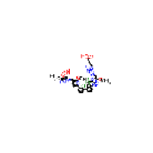 COc1nc(-c2cccc(-c3cccc4c3CC[C@@H]4Nc3nc(OC)c(CNCCC(=O)O)nc3C(F)(F)F)c2Cl)ccc1CN[C@H]1C[C@](C)(O)C1